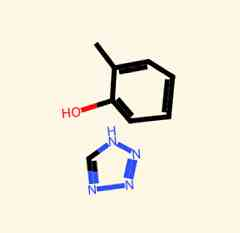 Cc1ccccc1O.c1nnn[nH]1